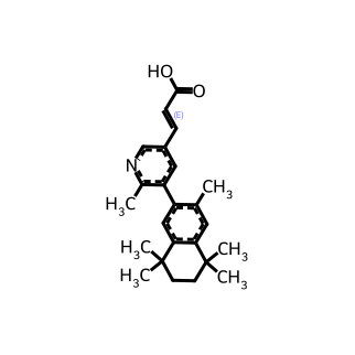 Cc1cc2c(cc1-c1cc(/C=C/C(=O)O)cnc1C)C(C)(C)CCC2(C)C